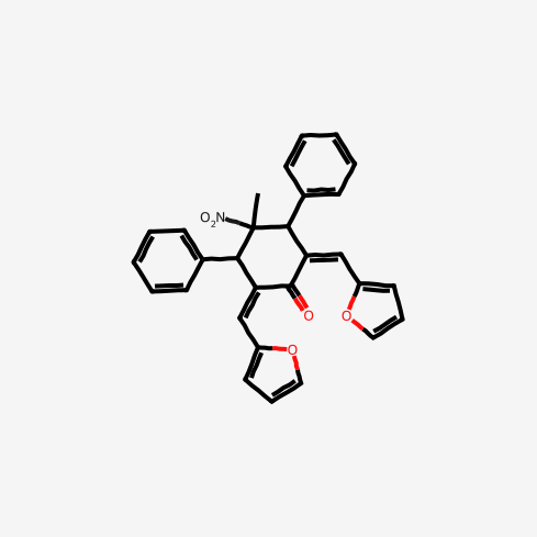 CC1([N+](=O)[O-])C(c2ccccc2)C(=Cc2ccco2)C(=O)C(=Cc2ccco2)C1c1ccccc1